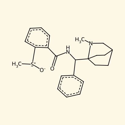 CN1CC2CCC1(C(NC(=O)c1ccccc1[S+](C)[O-])c1ccccc1)CC2